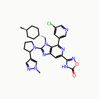 Cn1cc(C2CCCN2c2nc3cc(-c4noc(=O)[nH]4)nc(-c4cncc(Cl)c4)c3n2C[C@H]2CC[C@H](C)CC2)cn1